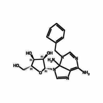 NC1=C2N=CN([C@@H]3O[C@H](CO)[C@@H](O)[C@H]3O)C2(N)N(Cc2ccccc2)C=N1